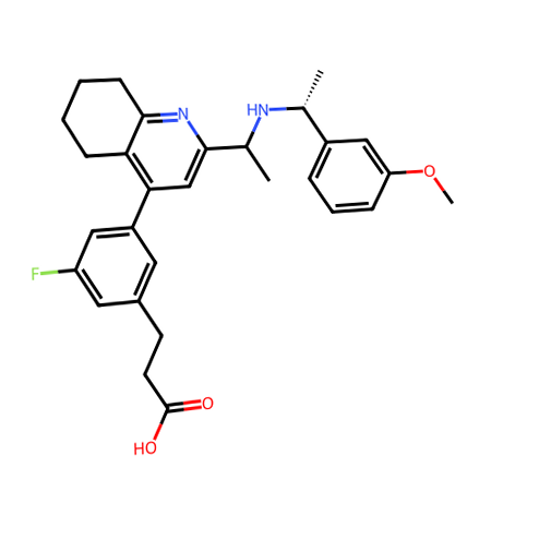 COc1cccc([C@@H](C)NC(C)c2cc(-c3cc(F)cc(CCC(=O)O)c3)c3c(n2)CCCC3)c1